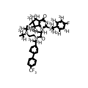 [2H]c1c([2H])c(C([2H])([2H])Sc2nc(=O)c3c(n2C([2H])([2H])C(=O)N(CCN(C([2H])([2H])C)C([2H])([2H])C)C([2H])([2H])c2ccc(-c4ccc(C(F)(F)F)cc4)cc2)C([2H])([2H])C([2H])(C)C3([2H])[2H])c([2H])c([2H])c1F